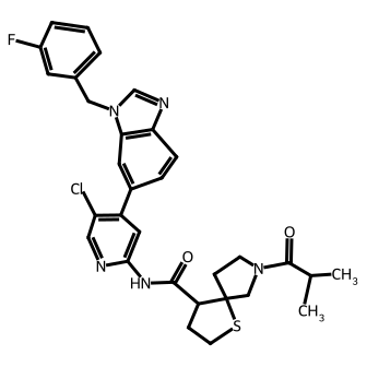 CC(C)C(=O)N1CCC2(C1)SCCC2C(=O)Nc1cc(-c2ccc3ncn(Cc4cccc(F)c4)c3c2)c(Cl)cn1